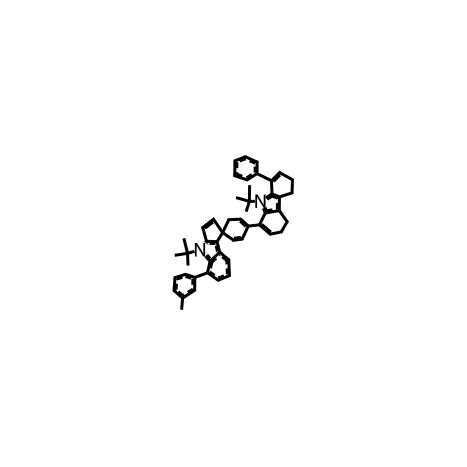 Cc1cccc(-c2cccc3c4c(n(C(C)(C)C)c23)C=CC42C=CC(C3=CCCc4c5c(n(C(C)(C)C)c43)C(c3ccccc3)=CCC5)=CC2)c1